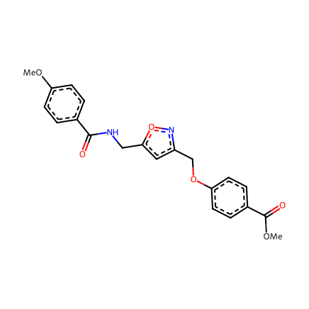 COC(=O)c1ccc(OCc2cc(CNC(=O)c3ccc(OC)cc3)on2)cc1